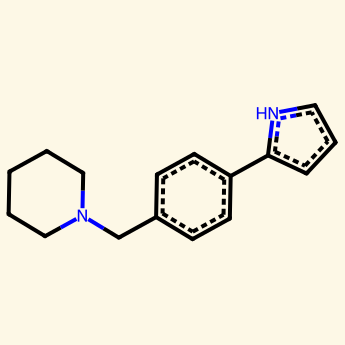 c1c[nH]c(-c2ccc(CN3CCCCC3)cc2)c1